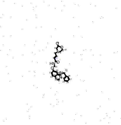 C[C@@H]1CN(C/C=C/C(=O)NCOc2ccc3ncnc(N[C@H](C)c4ccccc4)c3c2)CC(=O)O1